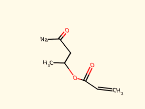 C=CC(=O)OC(C)C[C](=O)[Na]